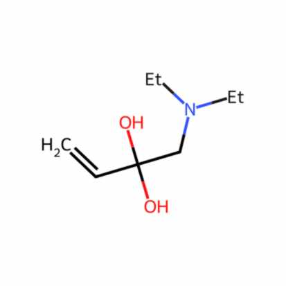 C=CC(O)(O)CN(CC)CC